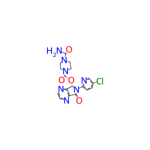 NC(=O)N1CCN(C(=O)O[C@H]2c3nccnc3C(=O)N2c2ccc(Cl)cn2)CC1